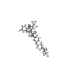 CC1=CN(C(=O)OC(C)(C)C)CCC1Cc1cccc(NC(=O)Nc2cc(C(C)(C)C)nn2-c2ccc(C)cc2)c1